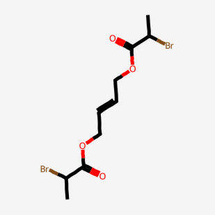 CC(Br)C(=O)OCC=CCOC(=O)C(C)Br